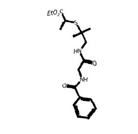 CCOC(=O)C(C)SC(C)(C)CNC(=O)CNC(=O)c1ccccc1